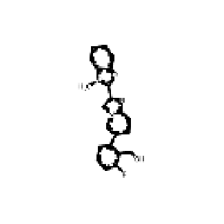 Cn1c(-c2cn3cc(-c4cccc(F)c4CO)ccc3n2)nc2ccccc21